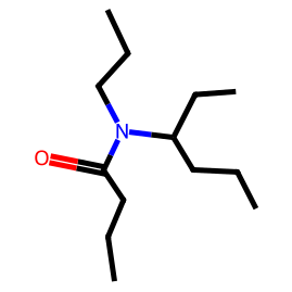 CCCC(=O)N(CCC)C(CC)CCC